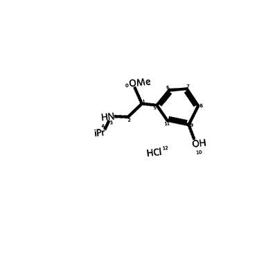 COC(CNC(C)C)c1cccc(O)c1.Cl